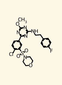 COc1nc(NCCc2ccc(F)cc2)nc(-c2ccc(Cl)c(S(=O)(=O)N3CCOCC3)c2)n1